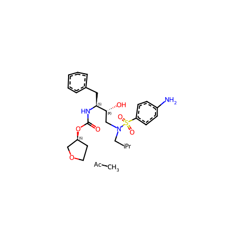 CC(C)=O.CC(C)CN(C[C@@H](O)[C@H](Cc1ccccc1)NC(=O)O[C@H]1CCOC1)S(=O)(=O)c1ccc(N)cc1